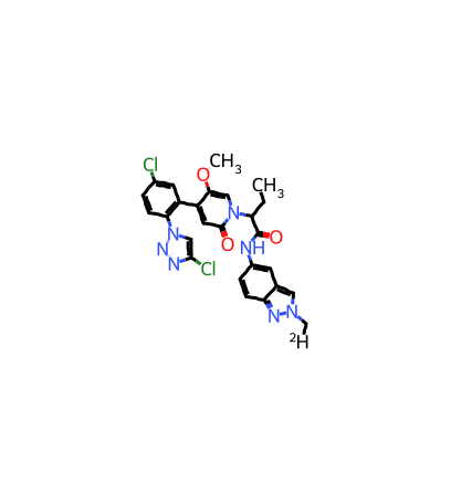 [2H]Cn1cc2cc(NC(=O)C(CC)n3cc(OC)c(-c4cc(Cl)ccc4-n4cc(Cl)nn4)cc3=O)ccc2n1